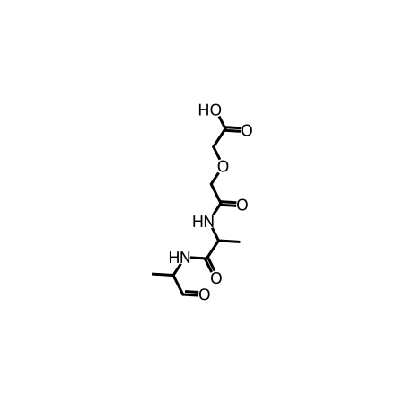 CC(C=O)NC(=O)C(C)NC(=O)COCC(=O)O